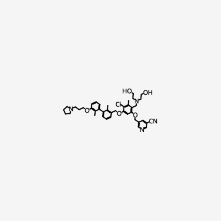 Cc1c(COc2cc(OCc3cncc(C#N)c3)c(CN(CCO)CCO)c(C)c2Cl)cccc1-c1cccc(OCCCN2CCCC2)c1C